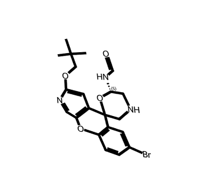 CC(C)(C)COc1cc2c(cn1)Oc1ccc(Br)cc1C21CNC[C@@H](NC=O)O1